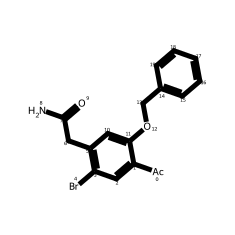 CC(=O)c1cc(Br)c(CC(N)=O)cc1OCc1ccccc1